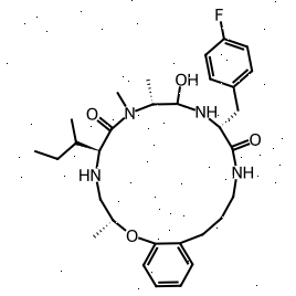 CCC(C)[C@@H]1NC[C@@H](C)Oc2ccccc2CCCNC(=O)[C@@H](Cc2ccc(F)cc2)NC(O)[C@@H](C)N(C)C1=O